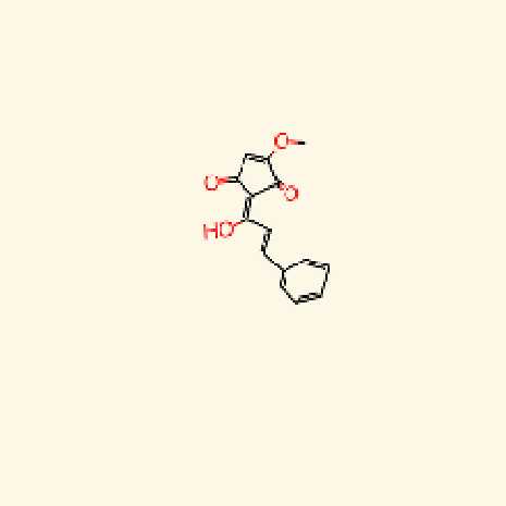 COC1=CC(=O)/C(=C(O)/C=C/c2ccccc2)C1=O